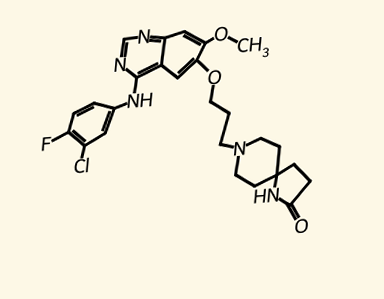 COc1cc2ncnc(Nc3ccc(F)c(Cl)c3)c2cc1OCCCN1CCC2(CCC(=O)N2)CC1